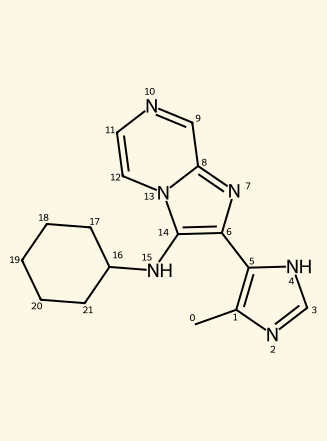 Cc1nc[nH]c1-c1nc2cnccn2c1NC1CCCCC1